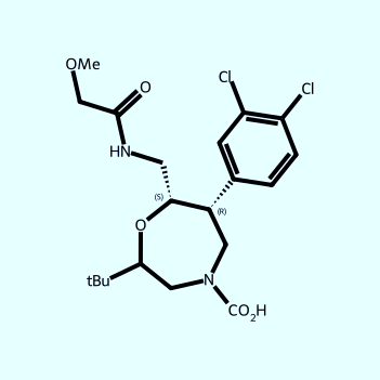 COCC(=O)NC[C@H]1OC(C(C)(C)C)CN(C(=O)O)C[C@H]1c1ccc(Cl)c(Cl)c1